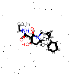 CC1(C)CC(O)=C(C(=O)NCC(=O)O)C(=O)N1C[C@H]1C[C@@H]1c1ccccc1